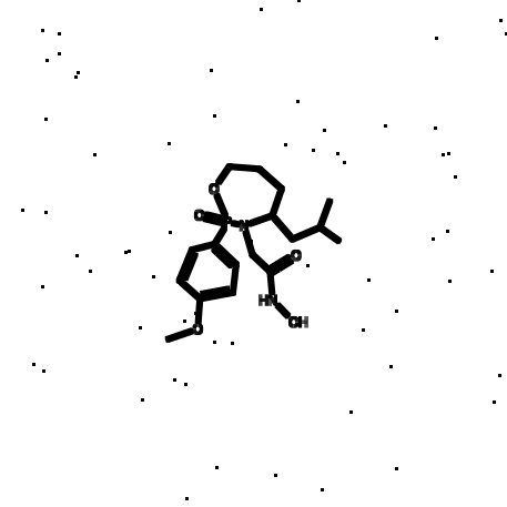 COc1ccc(P2(=O)OCCCC(CC(C)C)N2CC(=O)NO)cc1